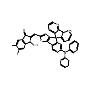 O=C1/C(=C/c2cc3c(s2)-c2ccc(N(c4ccccc4)c4ccccc4)cc2C32C3=CC=CNC3c3ncccc32)C(O)c2cc(F)c(F)cc21